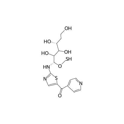 O=C(c1ccncc1)c1cnc(N[C@@H](OS)C(O)C(O)[C@H](O)CCO)s1